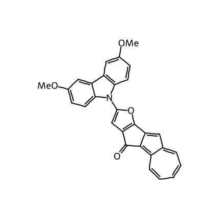 COc1ccc2c(c1)c1cc(OC)ccc1n2-c1cc2c(o1)-c1cc3cccccc-3c1C2=O